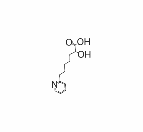 O=C(O)C(O)CCCCCc1ccccn1